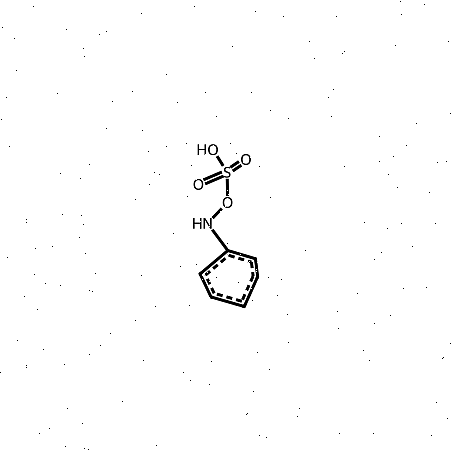 O=S(=O)(O)ONc1ccccc1